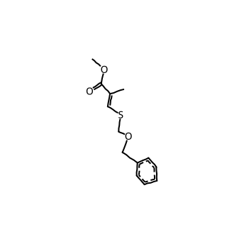 COC(=O)/C(C)=C/SCOCc1ccccc1